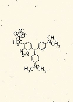 Cc1ccc(C(=C2C=CC(=[N+](C)C)C=C2)c2ccc(N(C)C)cc2)c2nsnc12.[O-][Cl+3]([O-])([O-])[O-]